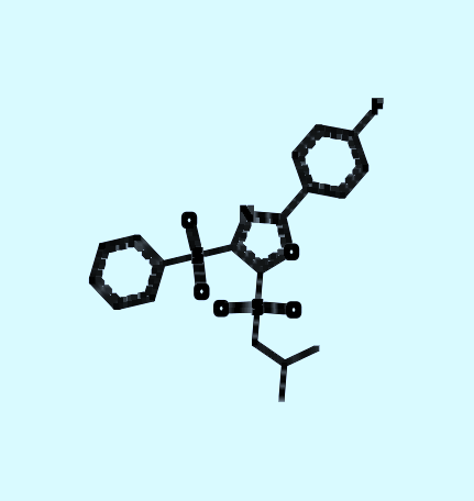 CC(C)CS(=O)(=O)c1oc(-c2ccc(F)cc2)nc1S(=O)(=O)c1ccccc1